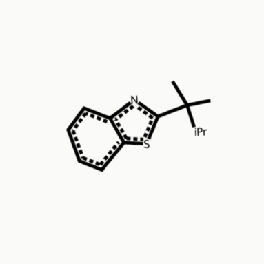 CC(C)C(C)(C)c1nc2ccccc2s1